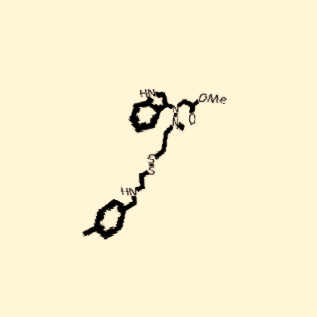 COC(=O)CN(c1c[nH]c2ccccc12)N(C)CCSSCCNCc1ccc(C)cc1